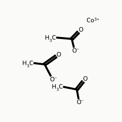 CC(=O)[O-].CC(=O)[O-].CC(=O)[O-].[Co+3]